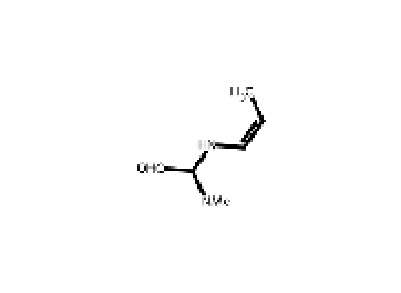 C/C=C\NC(C=O)NC